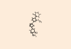 COCc1cc(-c2nc(-c3cnc(N)c(Cl)c3)no2)ccc1N1CCCCC1C